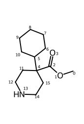 COC(=O)C1(C2CCCCC2)CCNCC1